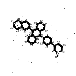 CN1C=C(c2ccc(-c3c4ccccc4c(-c4ccc5ccccc5c4)c4ccccc34)cc2)C=CC1